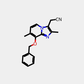 Cc1ccn2c(CC#N)c(C)nc2c1OCc1ccccc1